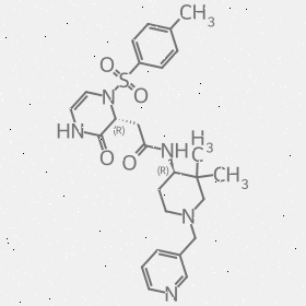 Cc1ccc(S(=O)(=O)N2C=CNC(=O)[C@H]2CC(=O)N[C@@H]2CCN(Cc3cccnc3)CC2(C)C)cc1